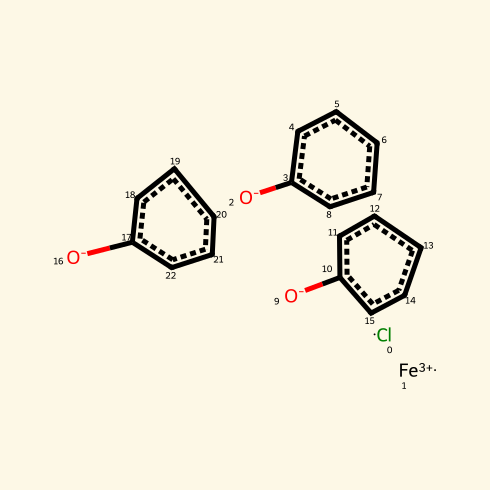 [Cl].[Fe+3].[O-]c1ccccc1.[O-]c1ccccc1.[O-]c1ccccc1